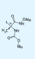 CONC(=O)[C@@](C)(I)NC(=O)OC(C)(C)C